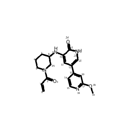 C=CC(=O)N1CCCC(Nc2cc(-c3ccnc(OC)c3)c[nH]c2=O)C1